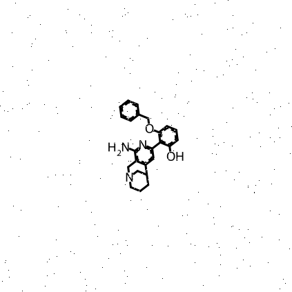 Nc1nc(-c2c(O)cccc2OCc2ccccc2)cc2c1CN1CCCC2C1